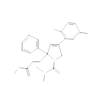 CN(C)C(=O)N1CC(c2cc(F)ccc2F)=CC1(CCC(=O)NO)c1ccccc1